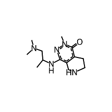 CC(CN(C)C)Nc1nn(C)c(=O)c2c1CNCC2